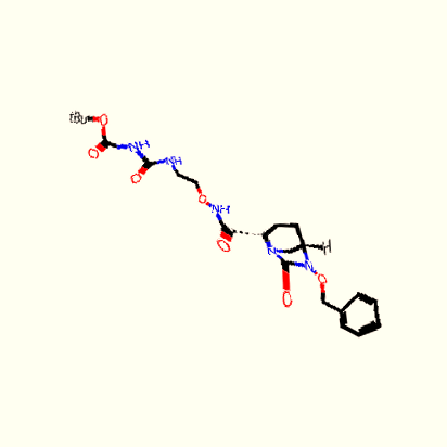 CC(C)(C)OC(=O)NC(=O)NCCONC(=O)[C@@H]1CC[C@H]2CN1C(=O)N2OCc1ccccc1